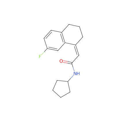 O=C(/C=C1/CCCc2ccc(F)cc21)NC1CCCC1